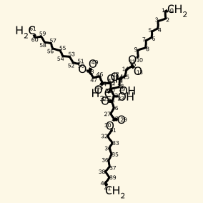 C=CCCCCCCCCCOC(=O)CCC(=O)C(O)C(C)(C(O)C(=O)CCC(=O)OCCCCCCCCCC=C)C(O)C(=O)CCC(=O)OCCCCCCCCCC=C